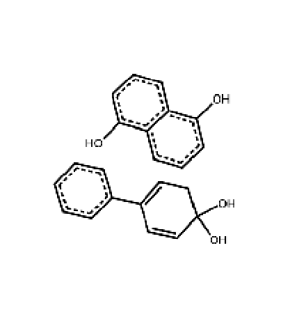 OC1(O)C=CC(c2ccccc2)=CC1.Oc1cccc2c(O)cccc12